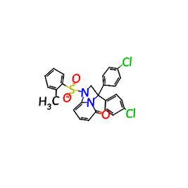 Cc1ccccc1S(=O)(=O)N1CC(c2ccc(Cl)cc2)(c2ccc(Cl)cc2)n2c1cccc2=O